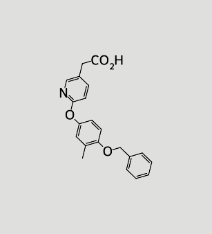 Cc1cc(Oc2ccc(CC(=O)O)cn2)ccc1OCc1ccccc1